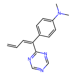 C=CC=C(c1ccc(N(C)C)cc1)c1ncncn1